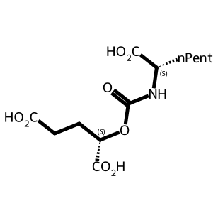 CCCCC[C@H](NC(=O)O[C@@H](CCC(=O)O)C(=O)O)C(=O)O